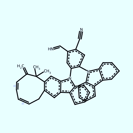 C=C1/C=C\C=C/Cc2cc3c4ccccc4n(-c4cc(C=N)c(C#N)cc4-n4c5ccccc5c5ccccc54)c3cc2C1(C)C